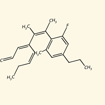 C=C/C=C(\C=C/CC)C(/C)=C(/C)c1c(C)cc(CCC)cc1F